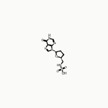 O=c1[nH]cnc2c1ncn2[C@H]1CC[C@@H](CNS(=O)(=O)O)O1